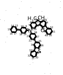 CC1(C)c2ccc(N(c3ccc(-c4ccccc4)cc3)c3ccc(-c4ccc5sc6ccccc6c5c4)cc3)cc2-c2c1ccc1c2oc2ccccc21